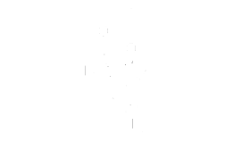 CC(=O)OC1(C)C=C[C@H]2C[C@@H]1C2(C)C